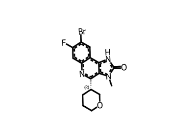 Cn1c(=O)[nH]c2c3cc(Br)c(F)cc3nc([C@H]3CCCOC3)c21